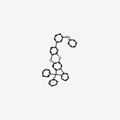 c1ccc(Pc2cccc(-c3ccc4c(c3)Oc3cc5c(cc3O4)C(c3ccccc3)(c3ccccc3)c3ccccc3-5)c2)cc1